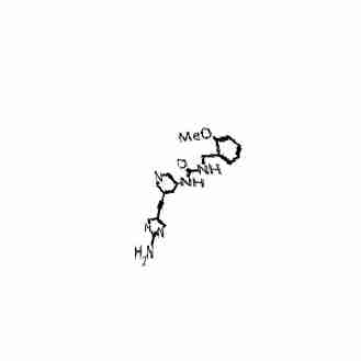 COc1ccccc1CNC(=O)Nc1cncc(C#Cc2cnc(N)nc2)c1